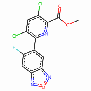 COC(=O)c1nc(-c2cc3nonc3cc2F)c(Cl)cc1Cl